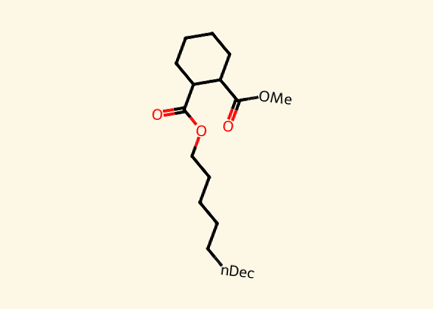 CCCCCCCCCCCCCCCOC(=O)C1CCCCC1C(=O)OC